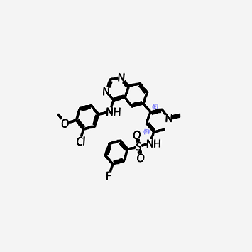 C=N/C=C(\C=C(/C)NS(=O)(=O)c1cccc(F)c1)c1ccc2ncnc(Nc3ccc(OC)c(Cl)c3)c2c1